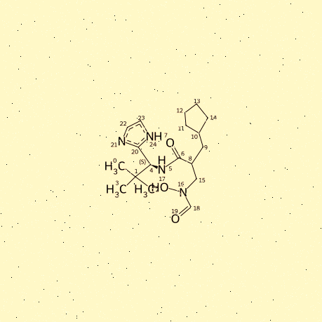 CC(C)(C)[C@H](NC(=O)C(CC1CCCC1)CN(O)C=O)c1ncc[nH]1